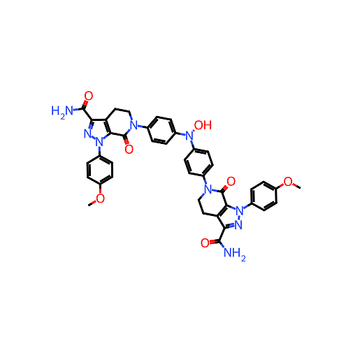 COc1ccc(-n2nc(C(N)=O)c3c2C(=O)N(c2ccc(N(O)c4ccc(N5CCc6c(C(N)=O)nn(-c7ccc(OC)cc7)c6C5=O)cc4)cc2)CC3)cc1